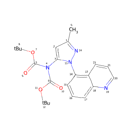 Cc1cc(N(C(=O)OC(C)(C)C)C(=O)OC(C)(C)C)n(-c2cccc3ncccc23)n1